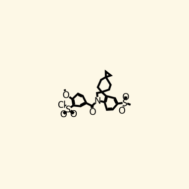 COc1ccc(C(=O)N2CC3(CCC4(CC4)CC3)c3cc(S(C)(=O)=O)ccc32)cc1S(=O)(=O)Cl